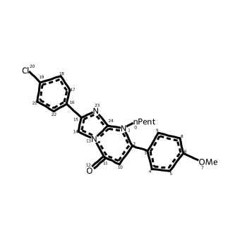 CCCCCn1c(-c2ccc(OC)cc2)cc(=O)n2cc(-c3ccc(Cl)cc3)nc12